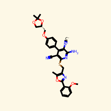 [C-]#[N+]c1c(N)nc(SCc2nc(-c3ccccc3OC)oc2C)c(C#N)c1-c1ccc(OC[C@@H]2COC(C)(C)O2)cc1